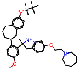 COc1ccc(C2CCCc3cc(O[Si](C)(C)C(C)(C)C)ccc3C2)c(C(C)(N)Cc2ccc(OCCN3CCCCCC3)cc2)c1